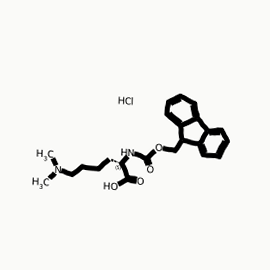 CN(C)CCCC[C@H](NC(=O)OCC1c2ccccc2-c2ccccc21)C(=O)O.Cl